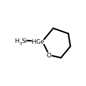 [SiH3][GeH]1[CH2]CCC[O]1